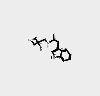 CC(Cc1c[nH]c2ccccc12)NCC1(F)COC1